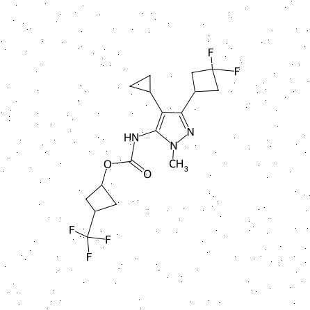 Cn1nc(C2CC(F)(F)C2)c(C2CC2)c1NC(=O)OC1CC(C(F)(F)F)C1